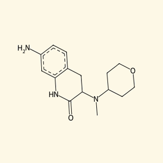 CN(C1CCOCC1)C1Cc2ccc(N)cc2NC1=O